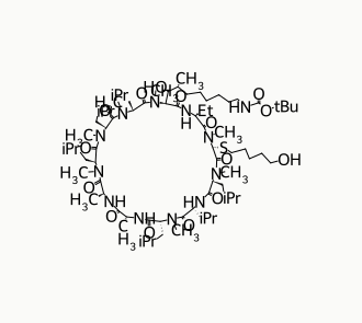 CC[C@@H]1NC(=O)[C@H]([C@H](O)[C@H](C)CCCCCCNC(=O)OC(C)(C)C)N(C)C(=O)[C@H](C(C)C)N(C)C(=O)[C@H](CC(C)C)N(C)C(=O)[C@H](CC(C)C)N(C)C(=O)[C@H](C)NC(=O)[C@@H](C)NC(=O)[C@@H](CC(C)C)N(C)C(=O)[C@@H](C(C)C)NC(=O)[C@H](CC(C)C)N(C)C(=O)[C@@H](SCCCCCO)N(C)C1=O